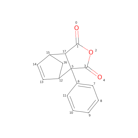 O=C1OC(=O)C2(c3ccccc3)C3C=CC(C3)C12